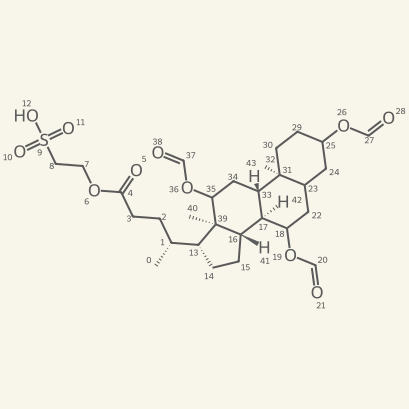 C[C@H](CCC(=O)OCCS(=O)(=O)O)[C@H]1CC[C@H]2[C@@H]3C(OC=O)CC4CC(OC=O)CC[C@]4(C)[C@H]3CC(OC=O)[C@]12C